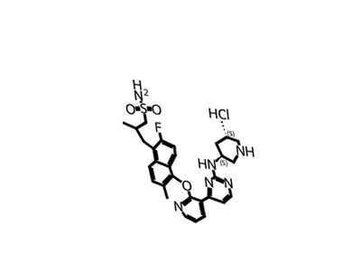 Cc1ccc2c(CC(C)CS(N)(=O)=O)c(F)ccc2c1Oc1ncccc1-c1ccnc(N[C@@H]2CNC[C@@H](C)C2)n1.Cl